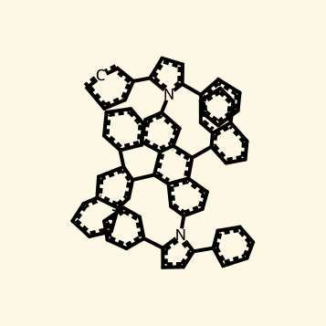 c1ccc(-c2cc3ccccc3cc2-c2c3cc(-n4c(-c5ccccc5)ccc4-c4ccccc4)ccc3c(-c3cccc4ccccc34)c3cc(-n4c(-c5ccccc5)ccc4-c4ccccc4)ccc23)cc1